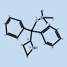 C[Si](C)(C)OC(c1ccccc1)(c1ccccc1)C1CCN1